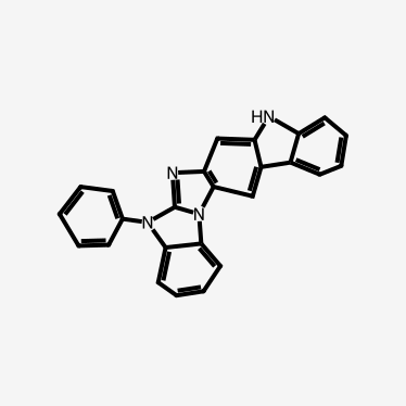 c1ccc(-n2c3ccccc3n3c4cc5c(cc4nc23)[nH]c2ccccc25)cc1